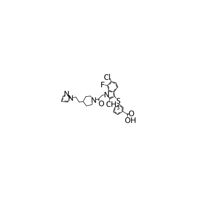 Cc1c(Sc2cccc(C(=O)O)c2)c2ccc(Cl)c(F)c2n1CC(=O)N1CCC(CCn2cccn2)CC1